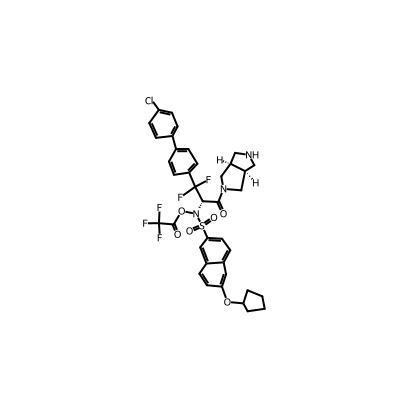 O=C([C@H](N(OC(=O)C(F)(F)F)S(=O)(=O)c1ccc2cc(OC3CCCC3)ccc2c1)C(F)(F)c1ccc(-c2ccc(Cl)cc2)cc1)N1C[C@H]2CNC[C@H]2C1